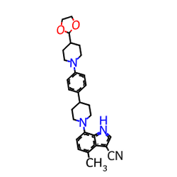 Cc1ccc(N2CCC(c3ccc(N4CCC(C5OCCO5)CC4)cc3)CC2)c2[nH]cc(C#N)c12